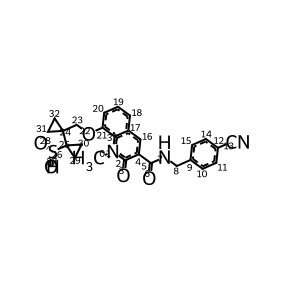 Cn1c(=O)c(C(=O)NCc2ccc(C#N)cc2)cc2cccc(OCC3(C4([SH](=O)=O)CC4)CC3)c21